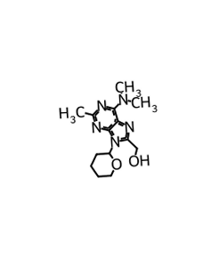 Cc1nc(N(C)C)c2nc(CO)n(C3CCCCO3)c2n1